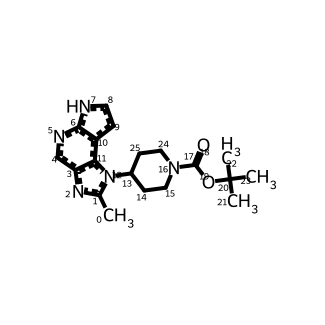 Cc1nc2cnc3[nH]ccc3c2n1C1CCN(C(=O)OC(C)(C)C)CC1